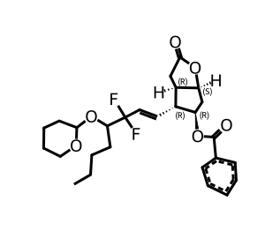 CCCCC(OC1CCCCO1)C(F)(F)C=C[C@@H]1[C@H]2CC(=O)O[C@H]2C[C@H]1OC(=O)c1ccccc1